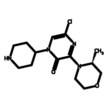 C[C@@H]1COCCN1c1nc(Cl)cn(C2CCNCC2)c1=O